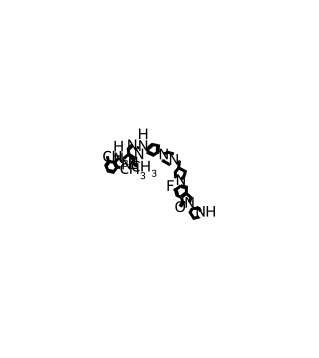 Cc1cccc(C)c1Nc1nn(C)c2nc(Nc3ccc(N4CCN(CC5CCN(c6cc7c(cc6F)C(=O)N(C6CCCNC6)C7)CC5)CC4)cc3)ncc12